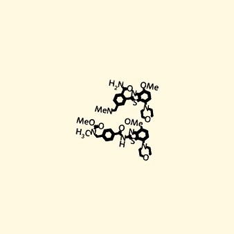 CNCc1ccc(C(N)=O)c(-c2nc3c(OC)ccc(N4CCOCC4)c3s2)c1.COC(=O)N(C)Cc1ccc(C(=O)Nc2nc3c(OC)ccc(N4CCOCC4)c3s2)cc1